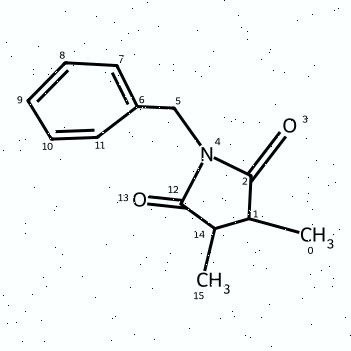 CC1C(=O)N(Cc2ccccc2)C(=O)C1C